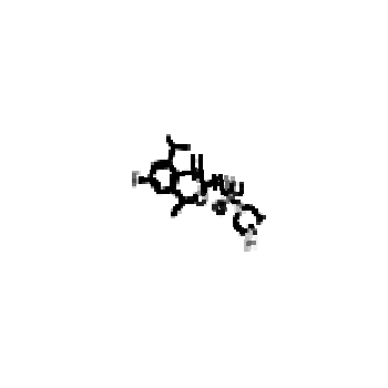 CC(C)c1cc(F)cc(C(C)C)c1NC(=O)NS(=O)(=O)N1CCNCC1